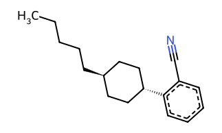 CCCCC[C@H]1CC[C@H](c2ccccc2C#N)CC1